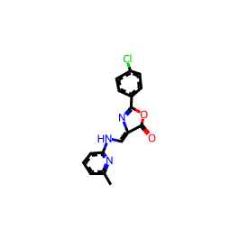 Cc1cccc(NC=C2N=C(c3ccc(Cl)cc3)OC2=O)n1